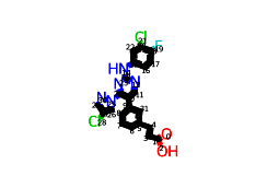 O=C(O)C=Cc1cccc(-c2cnc(Nc3ccc(F)c(Cl)c3)nc2-n2cc(Cl)cn2)c1